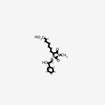 CN1C(=O)C(CCCCCCC(=O)O)N(N=CC(O)C2CCCCC2)C1=O